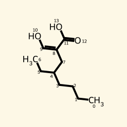 CCCCC(CC)CC(=CO)C(=O)O